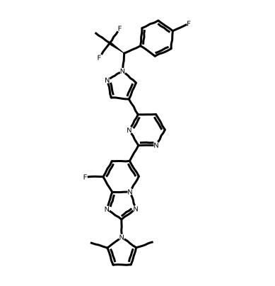 Cc1ccc(C)n1-c1nc2c(F)cc(-c3nccc(-c4cnn([C@H](c5ccc(F)cc5)C(C)(F)F)c4)n3)cn2n1